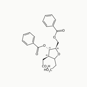 O=C(O)CC1O[C@H](COC(=O)c2ccccc2)[C@@H](OC(=O)c2ccccc2)[C@@H]1CC(=O)O